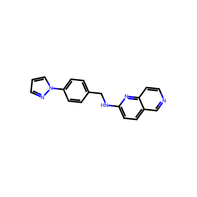 c1cnn(-c2ccc(CNc3ccc4cnccc4n3)cc2)c1